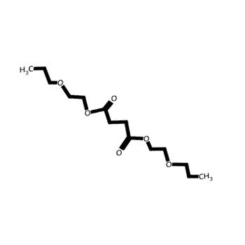 CCCOCCOC(=O)CCC(=O)OCCOCCC